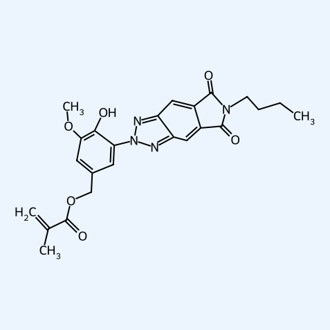 C=C(C)C(=O)OCc1cc(OC)c(O)c(-n2nc3cc4c(cc3n2)C(=O)N(CCCC)C4=O)c1